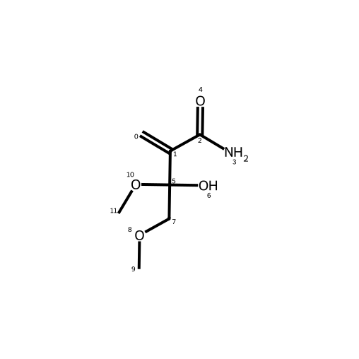 C=C(C(N)=O)C(O)(COC)OC